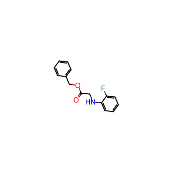 O=C(CNc1ccccc1F)OCc1ccccc1